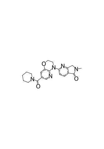 CN1Cc2nc(N3CCOc4cc(C(=O)N5CCCCC5)cnc43)ccc2C1=O